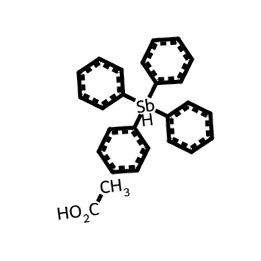 CC(=O)O.c1cc[c]([SbH]([c]2ccccc2)([c]2ccccc2)[c]2ccccc2)cc1